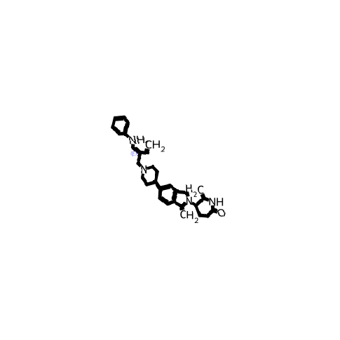 C=C/C(=C\Nc1ccccc1)CN1CCC(c2ccc3c(c2)CN(C2CCC(=O)NC2=C)C3=C)CC1